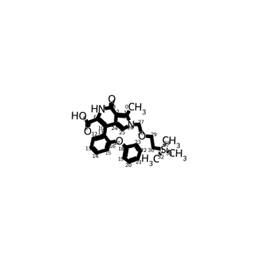 Cc1c2c(=O)[nH]c(C(=O)O)c(-c3ccccc3Oc3ccccc3)c2cn1COCC[Si](C)(C)C